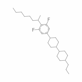 CCCCCCC(C)c1c(F)cc(C2CCC(C3CCC(CCC)CC3)CC2)cc1F